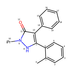 Cc1ccccc1-c1[nH]n(C(C)C)c(=O)c1-c1ccccc1